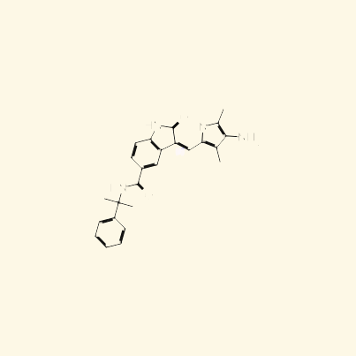 Cc1[nH]c(/C=C2\C(=O)Nc3ccc(C(=O)NC(C)(C)c4ccccc4)cc32)c(C)c1N